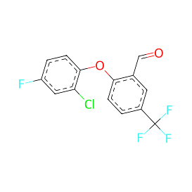 O=Cc1cc(C(F)(F)F)ccc1Oc1ccc(F)cc1Cl